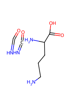 N=C=O.N=C=O.NCCCC(N)C(=O)O